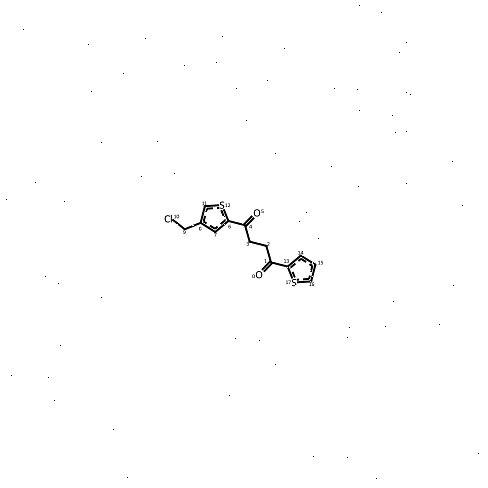 O=C(CCC(=O)c1cc(CCl)cs1)c1cccs1